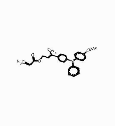 C=CC(=O)OCCC(C)c1ccc(N(c2ccccc2)c2ccc(OC)cc2)cc1